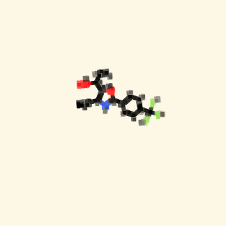 Cc1nc(-c2ccc(C(F)(F)F)cc2)oc1C(C)O